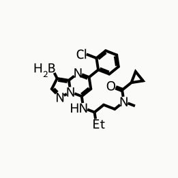 Bc1cnn2c(NC(CC)CCN(C)C(=O)C3CC3)cc(-c3ccccc3Cl)nc12